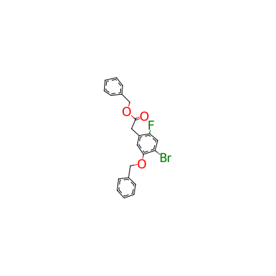 O=C(Cc1cc(OCc2ccccc2)c(Br)cc1F)OCc1ccccc1